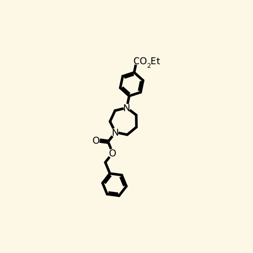 CCOC(=O)c1ccc(N2CCCN(C(=O)OCc3ccccc3)CC2)cc1